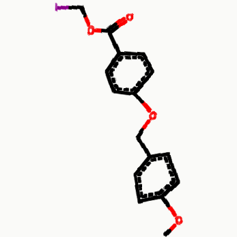 COc1ccc(COc2ccc(C(=O)OCI)cc2)cc1